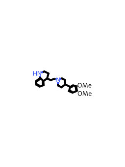 COc1ccc(C2CCN(CCC3CCNc4ccccc43)CC2)cc1OC